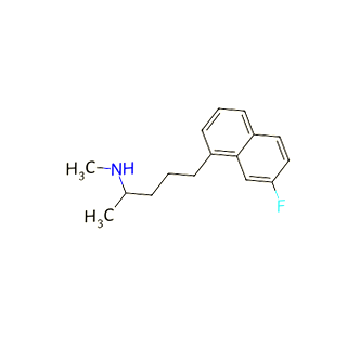 CNC(C)CCCc1cccc2ccc(F)cc12